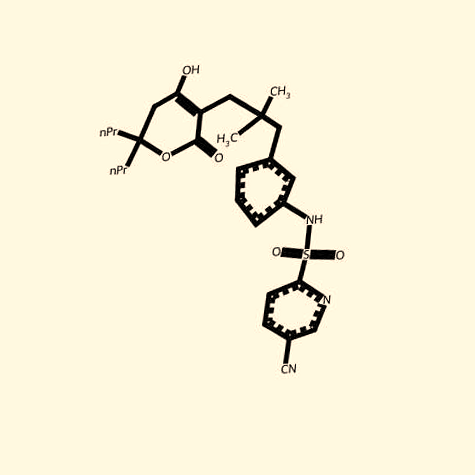 CCCC1(CCC)CC(O)=C(CC(C)(C)Cc2cccc(NS(=O)(=O)c3ccc(C#N)cn3)c2)C(=O)O1